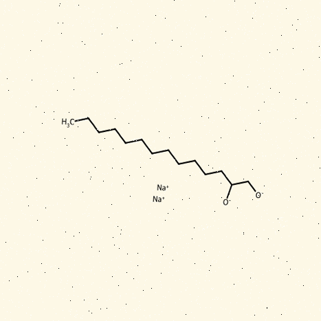 CCCCCCCCCCCCC([O-])C[O-].[Na+].[Na+]